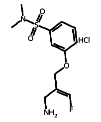 CN(C)S(=O)(=O)c1cccc(OCC(=CF)CN)c1.Cl